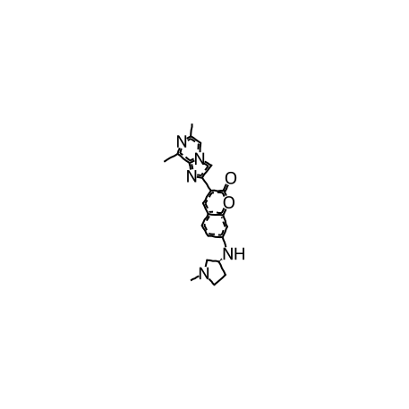 Cc1cn2cc(-c3cc4ccc(N[C@@H]5CCN(C)C5)cc4oc3=O)nc2c(C)n1